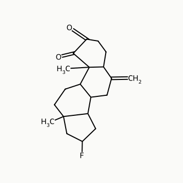 C=C1CC2C3CC(F)CC3(C)CCC2C2(C)C(=O)C(=O)CCC12